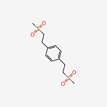 CS(=O)(=O)CCc1ccc(CCS(C)(=O)=O)cc1